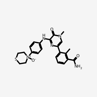 Cc1c(C(N)=O)cccc1-c1cn(C)c(=O)c(Nc2ccc([N+]3([O-])CCSCC3)cc2)n1